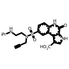 C#CCN(CCNC(C)C)S(=O)(=O)c1ccc2[nH]c(=O)c3[nH]cc(C(=O)O)c3c2c1